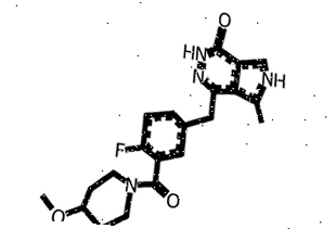 COC1CCN(C(=O)c2cc(Cc3n[nH]c(=O)c4c[nH]c(C)c34)ccc2F)CC1